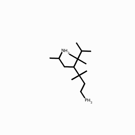 CC(N)CC(C(C)(C)CCP)C(C)(C)C(C)C